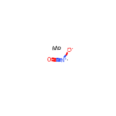 O=[N+][O-].[Mo]